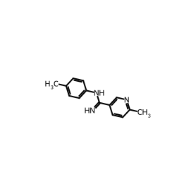 Cc1ccc(NC(=N)c2ccc(C)nc2)cc1